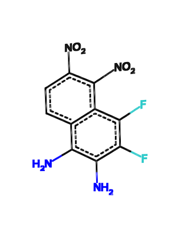 Nc1c(F)c(F)c2c([N+](=O)[O-])c([N+](=O)[O-])ccc2c1N